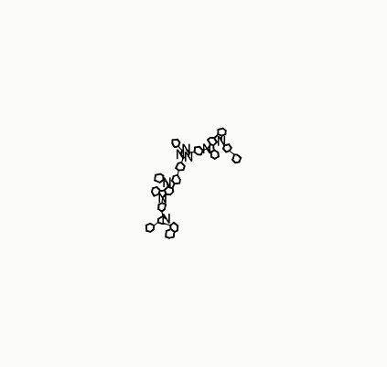 c1ccc(-c2ccc(-n3c4ccccc4c4ccc5c(c6ccccc6n5-c5ccc(-c6nc(-c7ccccc7)nc(-c7ccc(-c8ccc9c%10ccc%11c(c%12ccccc%12n%11-c%11ccc(-c%12cc(-c%13ccccc%13)cc(-c%13cccc%14ccccc%13%14)n%12)cc%11)c%10n(-c%10ccccc%10)c9c8)cc7)n6)cc5)c43)cc2)cc1